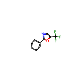 FC(F)(F)c1[c]nc(-c2ccccc2)o1